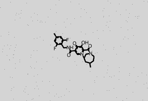 Cc1cc(F)c(CNC(=O)c2cn3c(c(O)c2=O)C(=O)N2CCC(C)CC3C2)c(F)c1